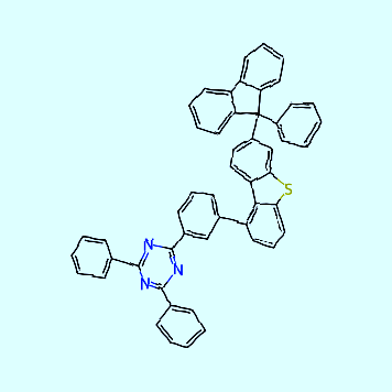 c1ccc(-c2nc(-c3ccccc3)nc(-c3cccc(-c4cccc5sc6cc(C7(c8ccccc8)c8ccccc8-c8ccccc87)ccc6c45)c3)n2)cc1